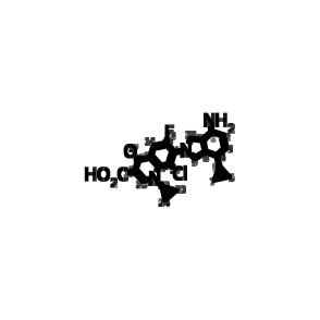 NC1C=CC(C2CC2)C2CN(c3c(F)cc4c(=O)c(C(=O)O)cn(C5CC5)c4c3Cl)CC12